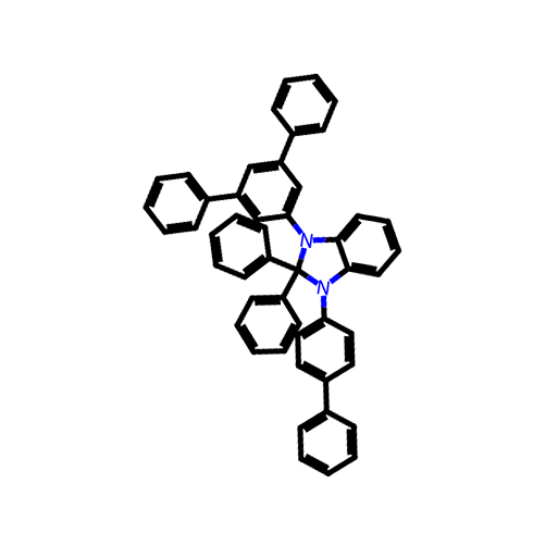 c1ccc(-c2ccc(N3c4ccccc4N(c4cc(-c5ccccc5)cc(-c5ccccc5)c4)C3(c3ccccc3)c3ccccc3)cc2)cc1